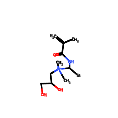 C=C(C)C(=O)NC(CC)[N+](C)(C)CC(O)CO